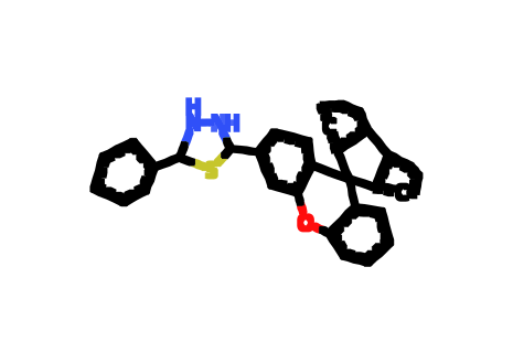 c1ccc(C2NNC(c3ccc4c(c3)Oc3ccccc3C43c4ccccc4-c4ccccc43)S2)cc1